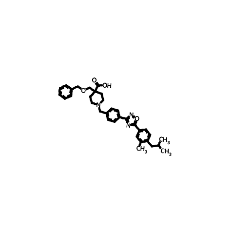 Cc1cc(-c2nc(-c3ccc(CN4CCC(COCc5ccccc5)(C(=O)O)CC4)cc3)no2)ccc1CC(C)C